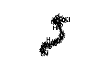 Cc1sc2c(c1C)C(c1ccc(Cl)cc1)=N[C@@H](CC(=O)NCCCN1CCN(CC3CCN(c4ncc(C(=O)NC5C(C)(C)C(Oc6ccc(C#N)c(Cl)c6)C5(C)C)cn4)CC3)CC1)c1nnc(C)n1-2